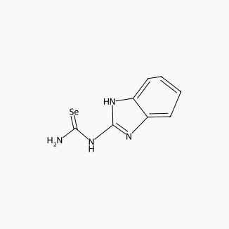 NC(=[Se])Nc1nc2ccccc2[nH]1